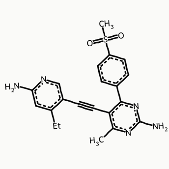 CCc1cc(N)ncc1C#Cc1c(C)nc(N)nc1-c1ccc(S(C)(=O)=O)cc1